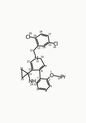 CC(C)Oc1ccccc1C1=CCN(Cc2cc(Cl)ccc2Cl)C=C1C1(N)CC1